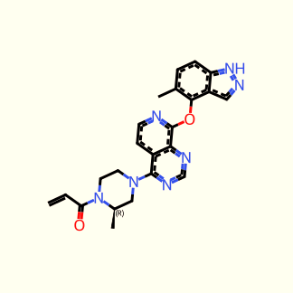 C=CC(=O)N1CCN(c2ncnc3c(Oc4c(C)ccc5[nH]ncc45)nccc23)C[C@H]1C